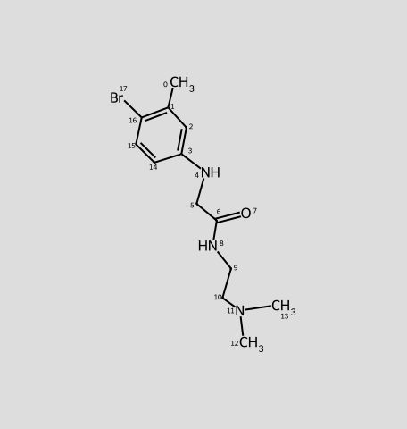 Cc1cc(NCC(=O)NCCN(C)C)ccc1Br